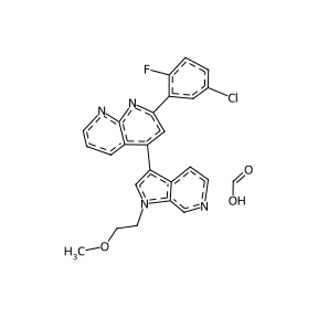 COCCn1cc(-c2cc(-c3cc(Cl)ccc3F)nc3ncccc23)c2ccncc21.O=CO